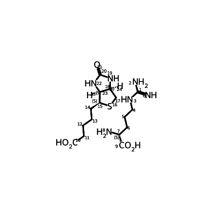 N=C(N)NCCC[C@H](N)C(=O)O.O=C(O)CCCC[C@@H]1SC[C@@H]2NC(=O)N[C@@H]21